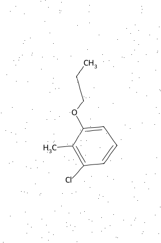 CCCOc1cccc(Cl)c1C